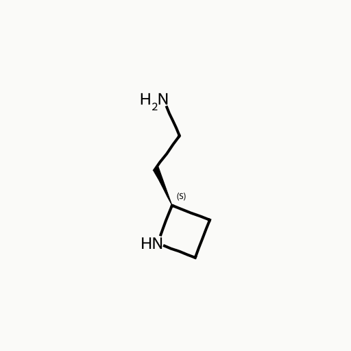 NCC[C@H]1CCN1